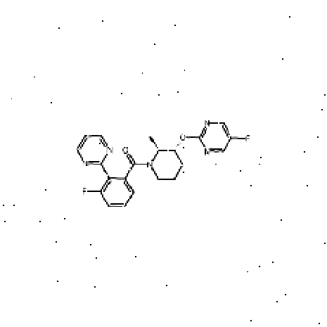 C[C@H]1[C@H](Oc2ncc(F)cn2)CCCN1C(=O)c1cccc(F)c1-c1ncccn1